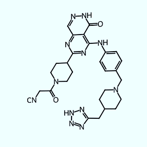 [C-]#[N+]CC(=O)N1CCC(c2nc(Nc3ccc(CN4CCC(Cc5nn[nH]n5)CC4)cc3)c3c(=O)[nH]ncc3n2)CC1